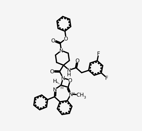 C[N+]1=C2ON(C(=O)C3(NC(=O)Cc4cc(F)cc(F)c4)CCN(C(=O)Oc4ccccc4)CC3)[C@@H]2N=C(c2ccccc2)c2ccccc21